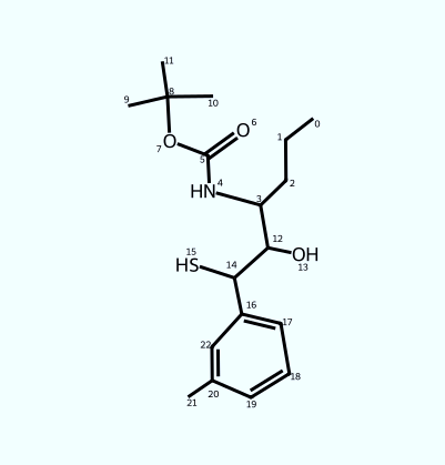 CCCC(NC(=O)OC(C)(C)C)C(O)C(S)c1cccc(C)c1